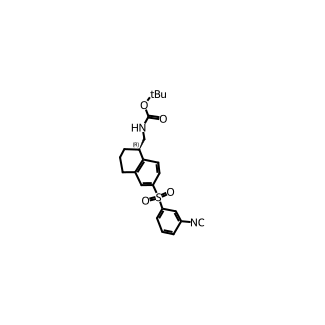 [C-]#[N+]c1cccc(S(=O)(=O)c2ccc3c(c2)CCC[C@H]3CNC(=O)OC(C)(C)C)c1